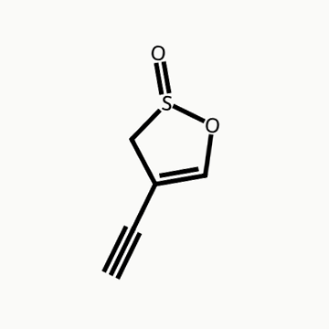 C#CC1=COS(=O)C1